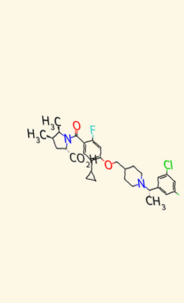 C[C@@H]1C[C@@H](C(=O)O)N(C(=O)c2cc(C3CC3)c(OCC3CCN([C@@H](C)c4cc(Cl)cc(Cl)c4)CC3)cc2F)[C@@H]1C